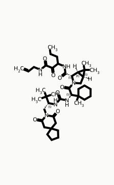 C=CCNC(=O)C(=O)C(CCC)NC(=O)[C@@H]1[C@@H]2[C@H](CN1C(=O)[C@@H](NC(=O)N[C@H](CN1C(=O)CC3(CCCC3)CC1=O)C(C)(C)C)C1(C)CCCCC1)C2(C)C